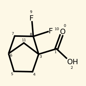 O=C(O)C12CCC(CC1(F)F)C2